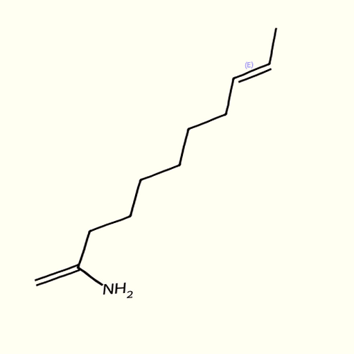 C=C(N)CCCCCC/C=C/C